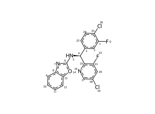 Fc1cc([C@H](Nc2nc3ccccc3o2)c2ncc(Cl)cc2F)ccc1Cl